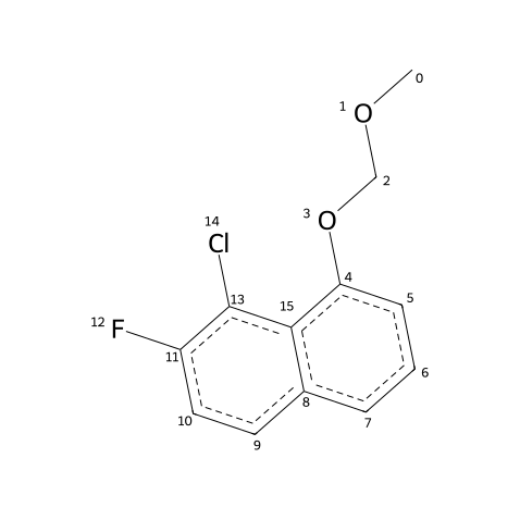 COCOc1cccc2ccc(F)c(Cl)c12